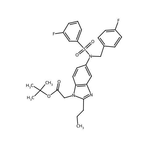 CCCc1nc2cc(N(Cc3ccc(F)cc3)S(=O)(=O)c3cccc(F)c3)ccc2n1CC(=O)OC(C)(C)C